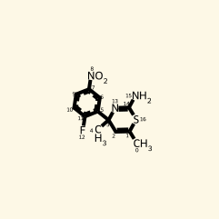 CC1=CC(C)(c2cc([N+](=O)[O-])ccc2F)N=C(N)S1